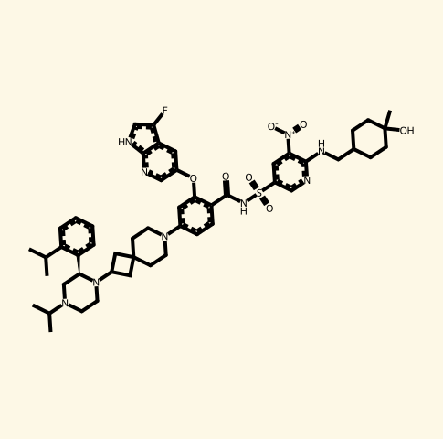 CC(C)c1ccccc1[C@@H]1CN(C(C)C)CCN1C1CC2(CCN(c3ccc(C(=O)NS(=O)(=O)c4cnc(NCC5CCC(C)(O)CC5)c([N+](=O)[O-])c4)c(Oc4cnc5[nH]cc(F)c5c4)c3)CC2)C1